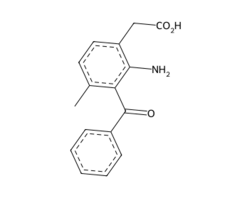 Cc1ccc(CC(=O)O)c(N)c1C(=O)c1ccccc1